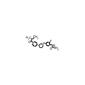 CCC(C)C(=O)N1C=CC=C([C@@H]2CCCN(Cc3ccc(NC(N)=O)c(F)c3)C2)C=C1